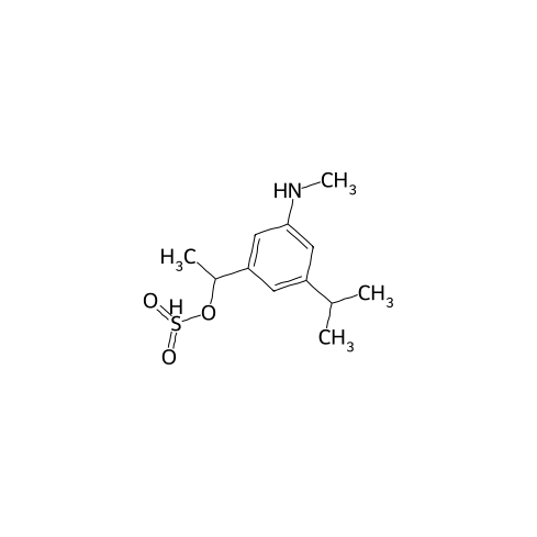 CNc1cc(C(C)C)cc(C(C)O[SH](=O)=O)c1